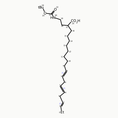 CC/C=C/C/C=C/C/C=C/CCCCCCCCC(CCNC(=O)OC(C)(C)C)C(=O)O